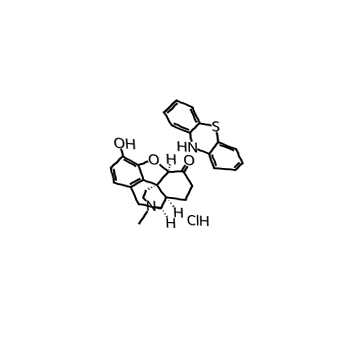 CN1CC[C@]23c4c5ccc(O)c4O[C@H]2C(=O)CC[C@H]3[C@H]1C5.Cl.c1ccc2c(c1)Nc1ccccc1S2